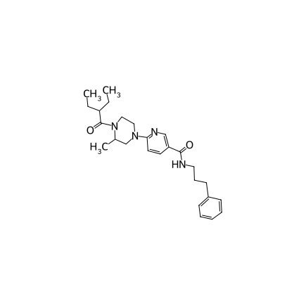 CCC(CC)C(=O)N1CCN(c2ccc(C(=O)NCCCc3ccccc3)cn2)CC1C